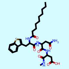 CCCCCCCCCC(=O)NC(Cc1csc2ccccc12)C(=O)NC(CC(N)=O)C(=O)NC(CC(=O)O)C(=O)NC